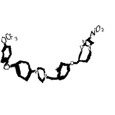 O=[N+]([O-])c1cn2c(n1)OC(COc1ccc(CN3CCN(c4ccc(Oc5ccc(OC(F)(F)F)cc5)cc4)CC3)cc1)CC2